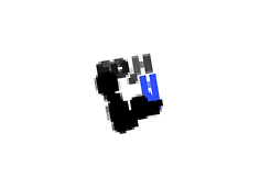 CC1(C)CC=C(c2ccc3[nH]ccc3c2)c2cc(/C=C/c3ccc(C(=O)O)cc3)ccc21